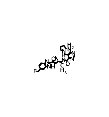 C[C@H](NC(=O)c1ncnc(N)c1CN1CCCC1)c1cc(-c2nc3ccc(CF)cc3[nH]2)on1